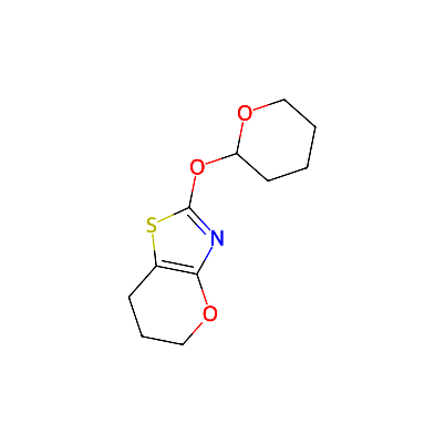 C1CCC(Oc2nc3c(s2)CCCO3)OC1